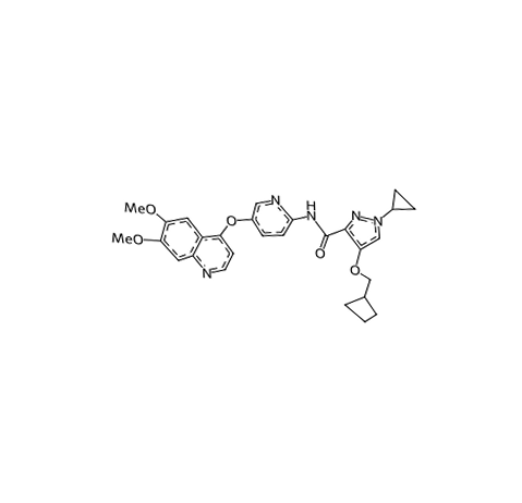 COc1cc2nccc(Oc3ccc(NC(=O)c4nn(C5CC5)cc4OCC4CCC4)nc3)c2cc1OC